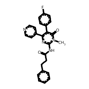 Cn1c(NC(=O)CCc2ccccc2)nc(-c2ccncc2)c(-c2ccc(F)cc2)c1=O